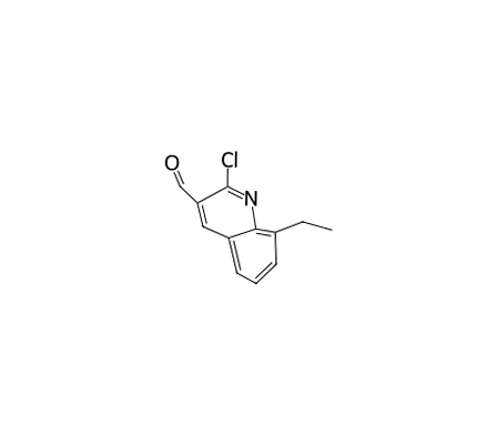 CCc1cccc2cc(C=O)c(Cl)nc12